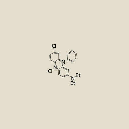 CCN(CC)c1ccc2nc3ccc(Cl)cc3[n+](-c3ccccc3)c2c1.[Cl-]